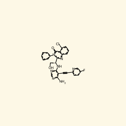 Nc1ncnc(N[C@@H](CO)c2nc3cccc(Cl)c3c(=O)n2-c2ccccc2)c1C#Cc1ccc(F)cn1